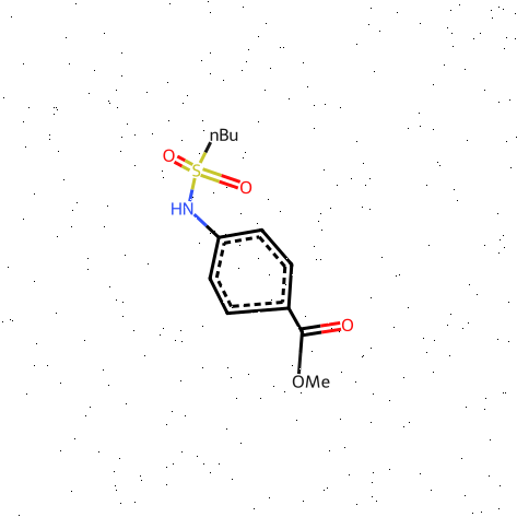 CCCCS(=O)(=O)Nc1ccc(C(=O)OC)cc1